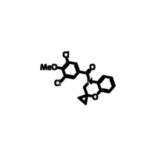 COc1c(Cl)cc(C(=O)N2CC3(CC3)Oc3ccccc32)cc1Cl